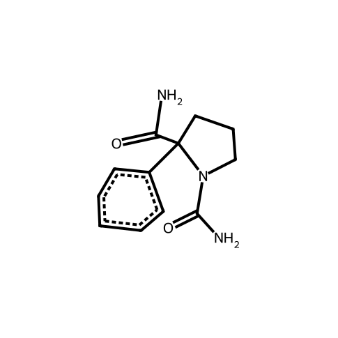 NC(=O)N1CCCC1(C(N)=O)c1ccccc1